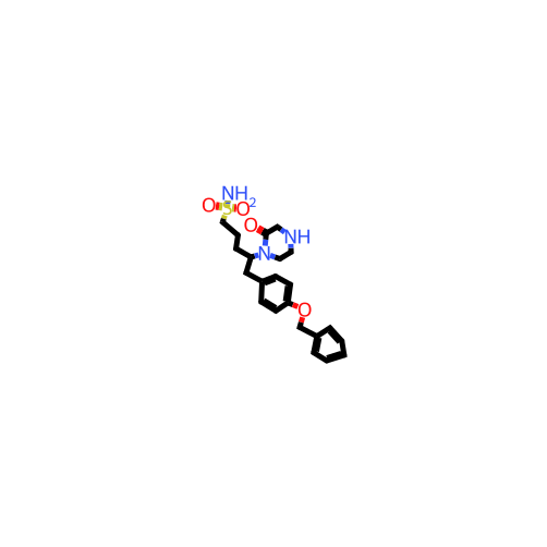 NS(=O)(=O)CCCC(Cc1ccc(OCc2ccccc2)cc1)N1CCNCC1=O